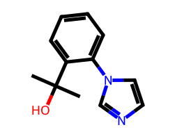 CC(C)(O)c1ccccc1-n1ccnc1